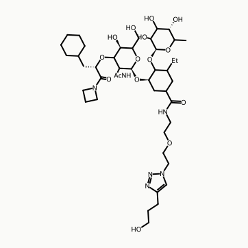 CCC1CC(C(=O)NCCOCCn2cc(CCCO)nn2)C[C@@H](O[C@@H]2OC(CO)[C@H](O)C(O[C@@H](CC3CCCCC3)C(=O)N3CCC3)C2NC(C)=O)C1O[C@@H]1OC(C)[C@@H](O)C(O)C1O